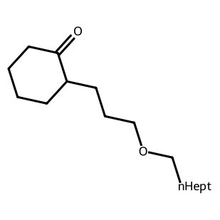 CCCCCCCCOCCCC1CCCCC1=O